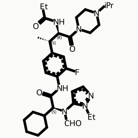 CCC(=O)N[C@@H](C(=O)N1CCN(C(C)C)CC1)[C@@H](C)c1ccc(NC(=O)[C@H](C2CCCCC2)N(C=O)c2ccnn2CC)c(F)c1